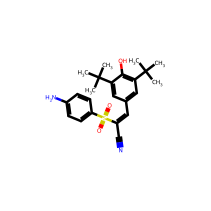 CC(C)(C)c1cc(/C=C(/C#N)S(=O)(=O)c2ccc(N)cc2)cc(C(C)(C)C)c1O